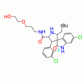 CC(C)(C)CC1NC(C(=O)NCCCOCCO)C(c2cccc(Cl)c2F)C12C(=O)Nc1cc(Cl)ccc12